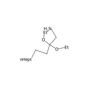 CCCCCCCCCC(C[SiH3])(OCC)OCC